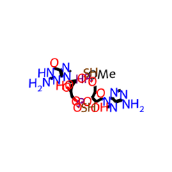 CO[PH]1(S)OCC2OC(n3cnc4c(N)ncnc43)C(O)C2OP(=O)(S)OCC2OC(n3cnc4c(=O)[nH]c(N)nc43)C(O1)C2O